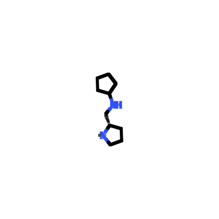 C1CCC(NC[C@@H]2CCC[N]2)C1